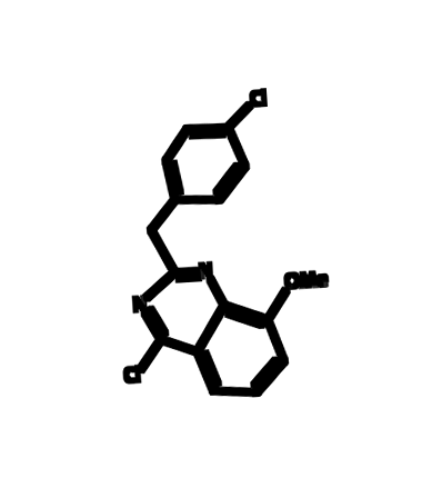 COc1cccc2c(Cl)nc(Cc3ccc(Cl)cc3)nc12